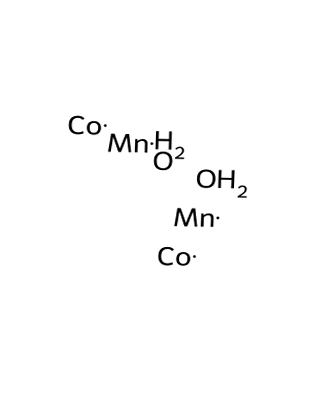 O.O.[Co].[Co].[Mn].[Mn]